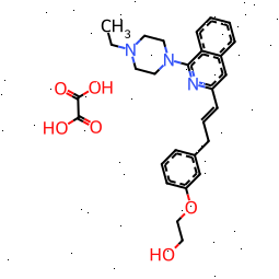 CCN1CCN(c2nc(C=CCc3cccc(OCCO)c3)cc3ccccc23)CC1.O=C(O)C(=O)O